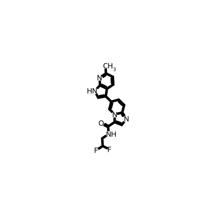 Cc1ccc2c(-c3ccc4ncc(C(=O)NCC(F)F)n4c3)c[nH]c2n1